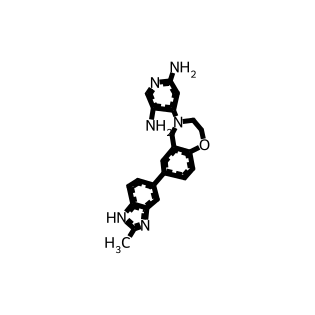 Cc1nc2cc(-c3ccc4c(c3)CN(c3cc(N)ncc3N)CCO4)ccc2[nH]1